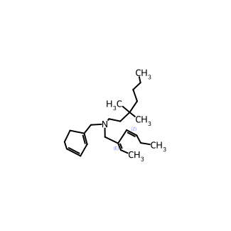 C/C=C(\C=C/CC)CN(CCC(C)(C)CCCC)CC1=CC=CCC1